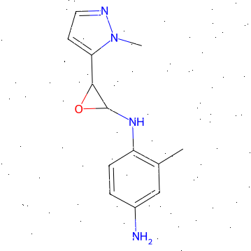 Cc1cc(N)ccc1NC1OC1c1ccnn1C